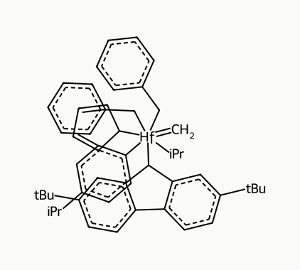 [CH2]=[Hf]([CH2]c1ccccc1)([CH2]c1ccccc1)([c]1ccc(C(C)C)cc1)([CH](C)C)([CH]1C=CC=C1)[CH]1c2cc(C(C)(C)C)ccc2-c2ccc(C(C)(C)C)cc21